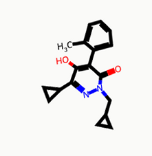 Cc1ccccc1-c1c(O)c(C2CC2)nn(CC2CC2)c1=O